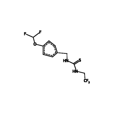 FC(F)Oc1ccc(CNC(=S)NCC(F)(F)F)cc1